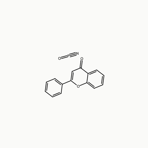 N#P=O.O=c1cc(-c2ccccc2)oc2ccccc12